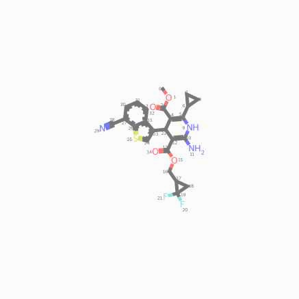 COC(=O)C1=C(C2CC2)NC(N)=C(C(=O)OCC2CC2(F)F)C1c1csc2c(C#N)cccc12